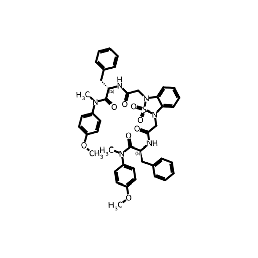 COc1ccc(N(C)C(=O)[C@H](Cc2ccccc2)NC(=O)CN2c3ccccc3N(CC(=O)N[C@@H](Cc3ccccc3)C(=O)N(C)c3ccc(OC)cc3)S2(=O)=O)cc1